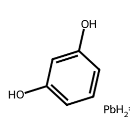 Oc1cccc(O)c1.[PbH2]